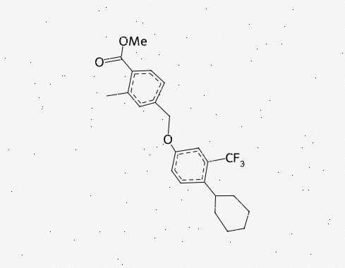 COC(=O)c1ccc(COc2ccc(C3CCCCC3)c(C(F)(F)F)c2)cc1C